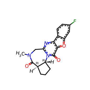 CN1Cc2nc3c(oc4cc(F)ccc43)c(=O)n2[C@@H]2CCC[C@H]2C1=O